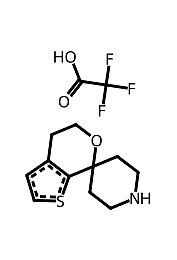 O=C(O)C(F)(F)F.c1cc2c(s1)C1(CCNCC1)OCC2